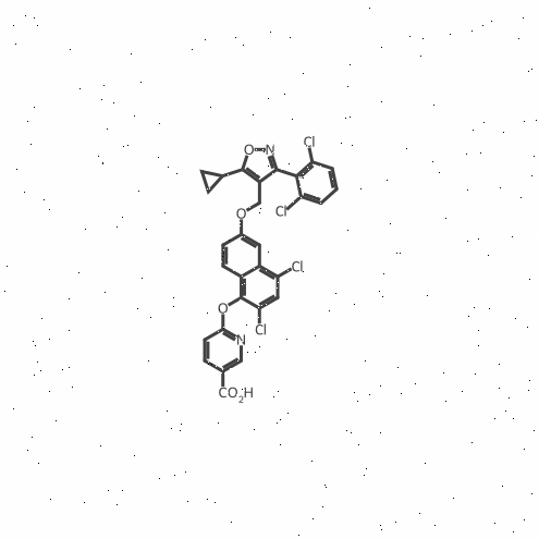 O=C(O)c1ccc(Oc2c(Cl)cc(Cl)c3cc(OCc4c(-c5c(Cl)cccc5Cl)noc4C4CC4)ccc23)nc1